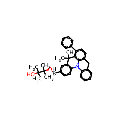 CC1(C)c2cc(BOC(C)(C)C(C)(C)O)ccc2N2c3ccccc3Cc3ccc(-c4ccccc4)c1c32